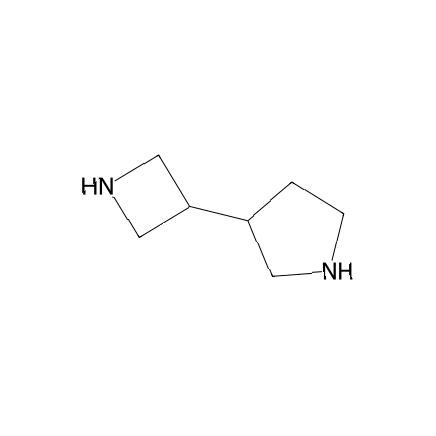 C1CC(C2CNC2)CN1